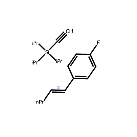 C#C[Si](C(C)C)(C(C)C)C(C)C.CCC/C=C/c1ccc(F)cc1